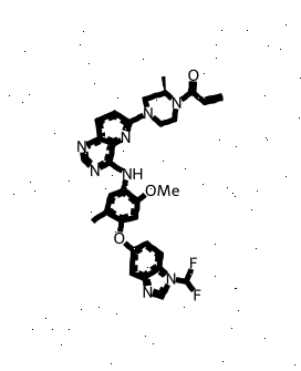 C=CC(=O)N1CCN(c2ccc3ncnc(Nc4cc(C)c(Oc5ccc6c(c5)ncn6C(F)F)cc4OC)c3n2)C[C@H]1C